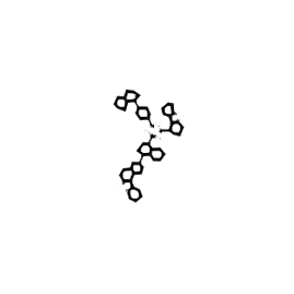 c1ccc2c(-c3ccc(-c4nc(-c5ccc(-c6ccc7c(ccc8oc9ccccc9c87)c6)c6ccccc56)nc(-c5cccc6oc7ccccc7c56)n4)cc3)cccc2c1